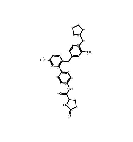 Cc1cc(Cc2ccc(O)cc2-c2ccc(NC(=O)C3CCC(=O)N3)cc2)ccc1CN1CCCC1